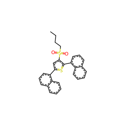 CCCCS(=O)(=O)c1cc(-c2cccc3ccccc23)sc1-c1cccc2ccccc12